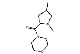 CC1CC(C(=O)N2CCOCC2)N(C)C1